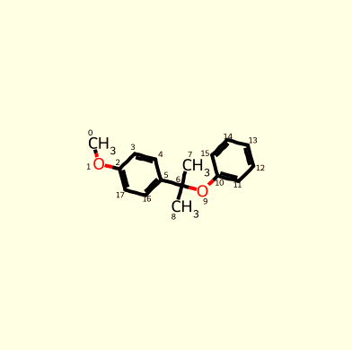 COc1ccc(C(C)(C)Oc2ccccc2)cc1